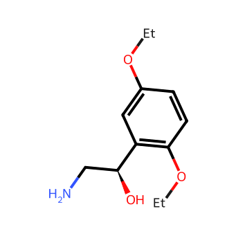 CCOc1ccc(OCC)c([C@@H](O)CN)c1